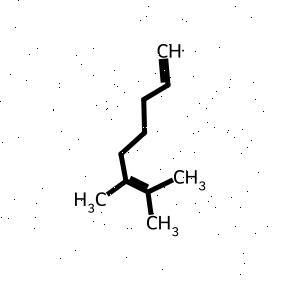 [CH]=CCCCC(C)=C(C)C